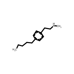 CCCCCc1ccc(CCNC)cc1